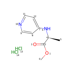 COC(=O)[C@H](C)Nc1ccncc1.Cl.Cl